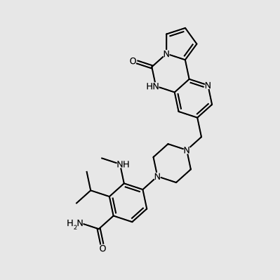 CNc1c(N2CCN(Cc3cnc4c(c3)[nH]c(=O)n3cccc43)CC2)ccc(C(N)=O)c1C(C)C